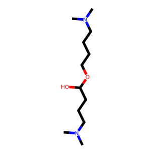 CN(C)CCCCOC(O)CCCN(C)C